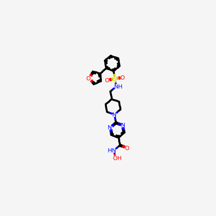 O=C(NO)c1cnc(N2CCC(CNS(=O)(=O)c3ccccc3-c3ccoc3)CC2)nc1